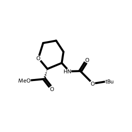 COC(=O)[C@@H]1OCCCC1NC(=O)OC(C)(C)C